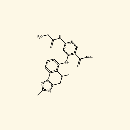 CNC(=O)c1nnc(NC(=O)CC(F)(F)F)cc1Nc1cccc2c1N(C)Cc1nc(C)nn1-2